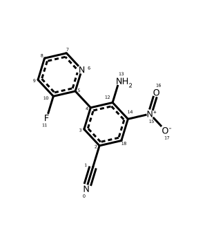 N#Cc1cc(-c2ncccc2F)c(N)c([N+](=O)[O-])c1